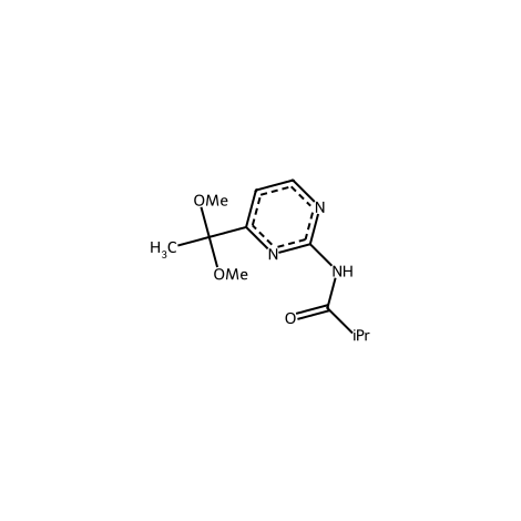 COC(C)(OC)c1ccnc(NC(=O)C(C)C)n1